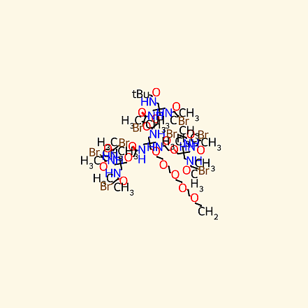 C=CCOCCOCCOCCOCCOCC(CNC(=O)COCC(CNC(=O)C(C)(C)C)(CNC(=O)C(C)(C)Br)CNC(=O)C(C)(C)Br)(CNC(=O)COCC(CNC(=O)C(C)(C)Br)(CNC(=O)C(C)(C)Br)CNC(=O)C(C)(C)Br)CNC(=O)COCC(CNC(=O)C(C)(C)Br)(CNC(=O)C(C)(C)Br)CNC(=O)C(C)(C)Br